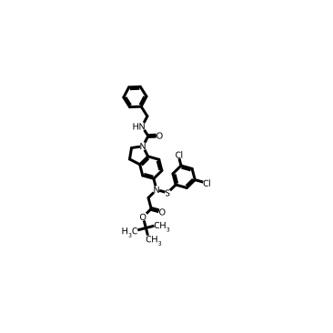 CC(C)(C)OC(=O)CN(Sc1cc(Cl)cc(Cl)c1)c1ccc2c(c1)CCN2C(=O)NCc1ccccc1